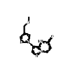 COCc1cnn(-c2cnn3ccc(=O)[nH]c23)c1